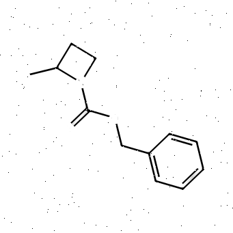 CC1CCN1C(=O)OCc1ccccc1